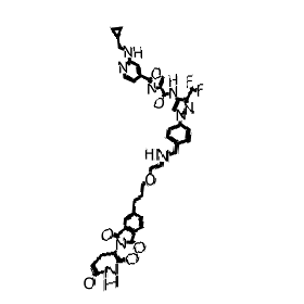 O=C1CCC(N2C(=O)c3ccc(CCCOCCNCc4ccc(-n5cc(NC(=O)c6coc(-c7ccnc(NCC8CC8)c7)n6)c(C(F)F)n5)cc4)cc3C2=O)C(=O)N1